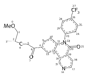 COC[C@@H](C)CCC(=O)c1ccc2c(c1)c1cnccc1c(=O)n2-c1ccc(C(F)(F)F)cc1